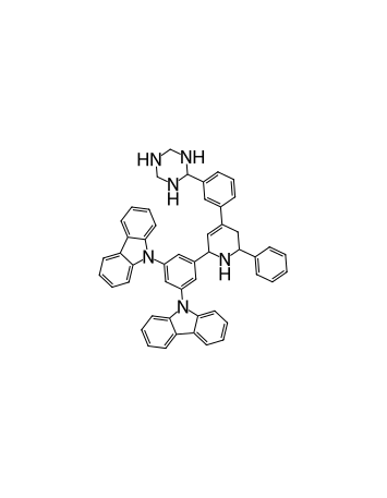 C1=C(c2cccc(C3NCNCN3)c2)CC(c2ccccc2)NC1c1cc(-n2c3ccccc3c3ccccc32)cc(-n2c3ccccc3c3ccccc32)c1